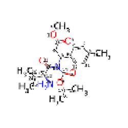 COC(=O)CC(c1ccc(C)cc1)N(C(=O)OC(C)C)C(=O)[C@@H](N)C(C)C